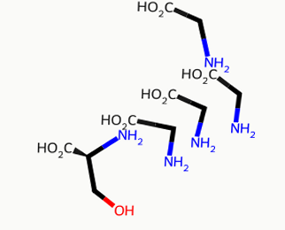 NCC(=O)O.NCC(=O)O.NCC(=O)O.NCC(=O)O.N[C@@H](CO)C(=O)O